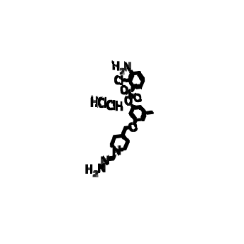 Cc1cc(OCC2CCN(C=NN)CC2)cc(OS(=O)(=O)c2cccc(N)c2Cl)c1.Cl.Cl